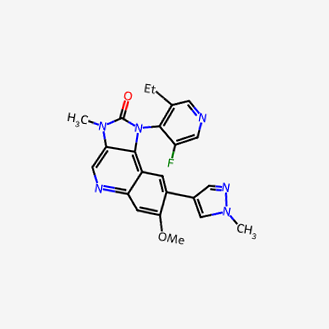 CCc1cncc(F)c1-n1c(=O)n(C)c2cnc3cc(OC)c(-c4cnn(C)c4)cc3c21